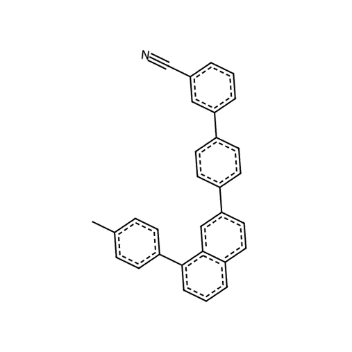 Cc1ccc(-c2cccc3ccc(-c4ccc(-c5cccc(C#N)c5)cc4)cc23)cc1